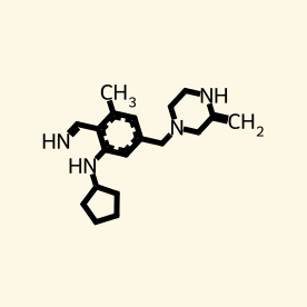 C=C1CN(Cc2cc(C)c(C=N)c(NC3CCCC3)c2)CCN1